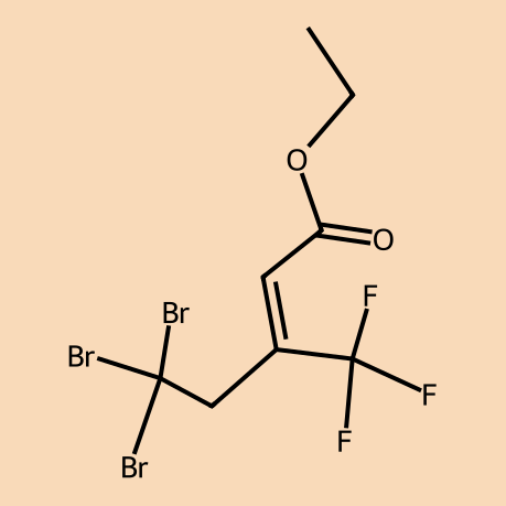 CCOC(=O)C=C(CC(Br)(Br)Br)C(F)(F)F